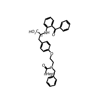 CCCCCCCC(=O)N(CCOc1ccc(C[C@H](Nc2ccccc2C(=O)c2ccccc2)C(=O)O)cc1)Cc1ccccc1